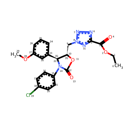 CCOC(=O)c1nnn(C[C@@H]2OC(=O)N(c3ccc(Cl)cc3)[C@H]2c2cccc(OC)c2)n1